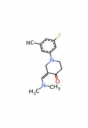 CN(C)/C=C1/CN(c2cc(F)cc(C#N)c2)CCC1=O